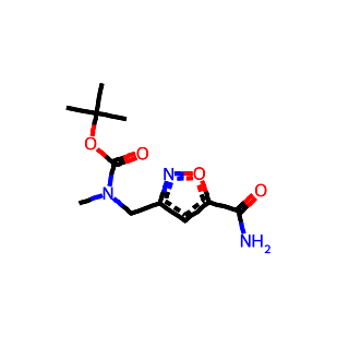 CN(Cc1cc(C(N)=O)on1)C(=O)OC(C)(C)C